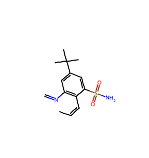 C=Nc1cc(C(C)(C)C)cc(S(N)(=O)=O)c1/C=C\C